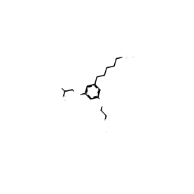 CCCCCCCCCCCCCCCc1cc(OCCOS(C)(=O)=O)cc(OCC(CC)CCCC)c1